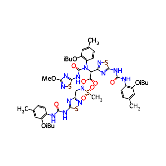 COc1nsc(NC(=O)N(c2ccc(C)cc2OCC(C)C)C(C(=O)ON(Cc2nsc(NC(=O)Nc3ccc(C)cc3OCC(C)C)n2)S(C)(=O)=O)c2nsc(NC(=O)Nc3ccc(C)cc3OCC(C)C)n2)n1